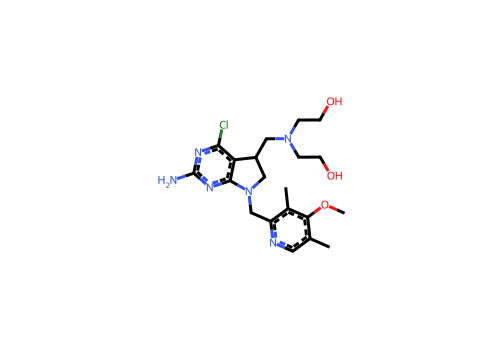 COc1c(C)cnc(CN2CC(CN(CCO)CCO)c3c(Cl)nc(N)nc32)c1C